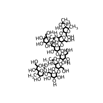 CC(=O)NC1[C@H](OC2C(O)[C@H](O)C(CO)O[C@@H]2O[C@@H]2C(O)[C@H](O[C@@H]3C(CO)O[C@@H](O[C@@H]4C(CO)O[C@@H](C)C(NC(C)=O)[C@H]4O)C(NC(C)=O)[C@H]3O)OC(CO[C@H]3OC(CO)[C@@H](O)[C@H](O)C3O)[C@H]2O)OC(CO)[C@@H](O[C@@H]2OC(CO[C@]3(OC=O)C[C@@H](O)[C@@H](C)C(C(O)C(O)CO)O3)[C@H](O)[C@H](O)C2O)[C@@H]1O